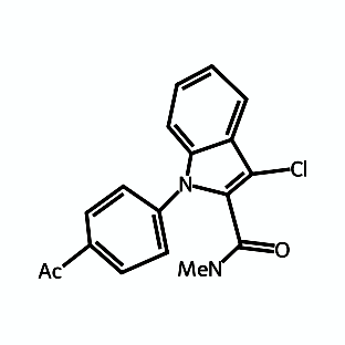 CNC(=O)c1c(Cl)c2ccccc2n1-c1ccc(C(C)=O)cc1